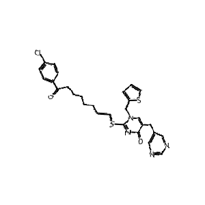 O=C(CCCCCCCSc1nc(=O)c(Cc2cncnc2)cn1Cc1cccs1)c1ccc(Cl)cc1